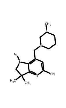 CC(=O)N1CC(C)(C)c2nc(C#N)cc(CN3CCC[C@H](C)C3)c21